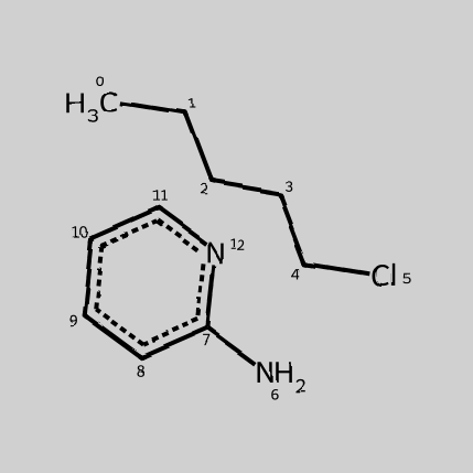 CCCCCCl.Nc1ccccn1